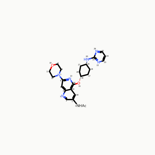 CC(=O)Nc1cnc2cc(N3CCOCC3)nc(O[C@H]3CC[C@@H](Nc4ncccn4)CC3)c2c1